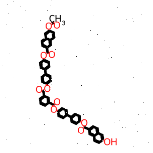 CC(=O)Oc1ccc2cc(C(=O)Oc3ccc(-c4ccc(OC(=O)c5cccc(C(=O)Oc6ccc(-c7ccc(OC(=O)c8ccc9cc(O)ccc9c8)cc7)cc6)c5)cc4)cc3)ccc2c1